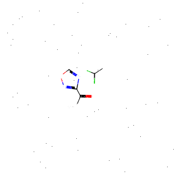 COC(=O)c1ncon1.O=C(O)C(Cl)Cl